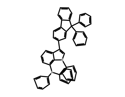 c1ccc(N(c2ccccc2)c2cccc3c(-c4ccc5c(c4)C(c4ccccc4)(c4ccccc4)c4ccccc4-5)cn(-c4ccccc4)c23)cc1